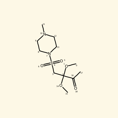 COC(CS(=O)(=O)N1CCN(C)CC1)(OC)C(C)=O